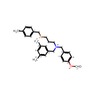 Cc1ccc(CSCCCN(Cc2ccc(OC=O)cc2)Cc2cc(C)cc(C(F)(F)F)c2)cc1